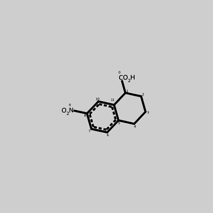 O=C(O)C1CCCc2ccc([N+](=O)[O-])cc21